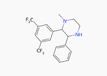 CN1CCNC(c2ccccc2)C1c1cc(C(F)(F)F)cc(C(F)(F)F)c1